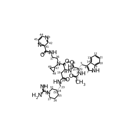 CC(=O)N[C@@H](Cc1c[nH]c2ccccc12)C(=O)N[C@@H](CC(=O)NC[C@@H]1CCCN(C(=N)N)C1)C(=O)N(CCNC(=O)c1cnccn1)C1CC1